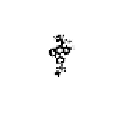 Cn1cncc1C(O)C1=Cc2cccnc2[C@@H](C2CCN(C(=O)OC(C)(C)C)CC2)c2ccc(Cl)cc21